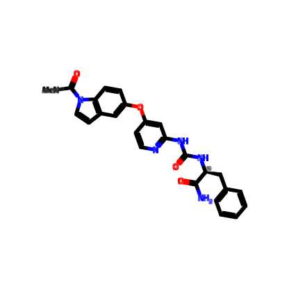 CNC(=O)n1ccc2cc(Oc3ccnc(NC(=O)N[C@@H](Cc4ccccc4)C(N)=O)c3)ccc21